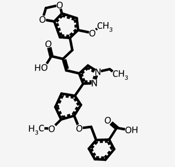 CCn1cc(/C=C(\Cc2cc3c(cc2OC)OCO3)C(=O)O)c(-c2ccc(OC)c(OCc3ccccc3C(=O)O)c2)n1